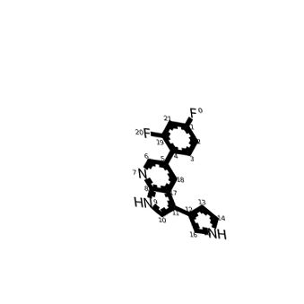 Fc1ccc(-c2cnc3[nH]cc(-c4cc[nH]c4)c3c2)c(F)c1